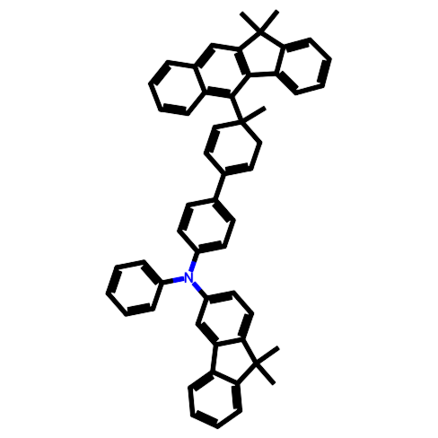 CC1(c2c3c(cc4ccccc24)C(C)(C)c2ccccc2-3)C=CC(c2ccc(N(c3ccccc3)c3ccc4c(c3)-c3ccccc3C4(C)C)cc2)=CC1